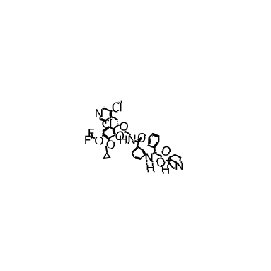 O=C(CNC(=O)c1cccc(NC(C(=O)O[C@H]2CN3CCC2CC3)c2ccccc2)c1)O[C@@H](Cc1c(Cl)cncc1Cl)c1ccc(OC(F)F)c(OCC2CC2)c1